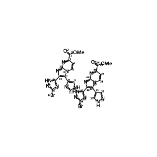 COC(=O)c1ccn2c(-c3c[nH]cn3)c(-c3nc(Br)n[nH]3)nc2n1.COC(=O)c1ccn2c(-c3cn[nH]c3)c(-c3nc(Br)n[nH]3)nc2n1